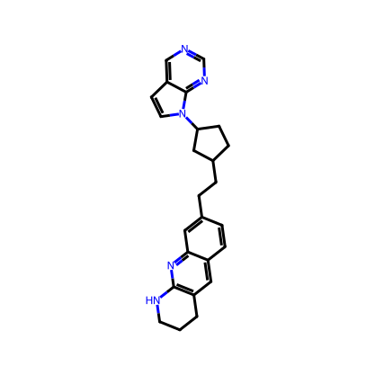 c1ncc2ccn(C3CCC(CCc4ccc5cc6c(nc5c4)NCCC6)C3)c2n1